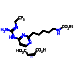 CCOC(=O)NCCCCCc1nccc(NC(N)=NCC(F)(F)F)n1.O=C(O)/C=C\C(=O)O